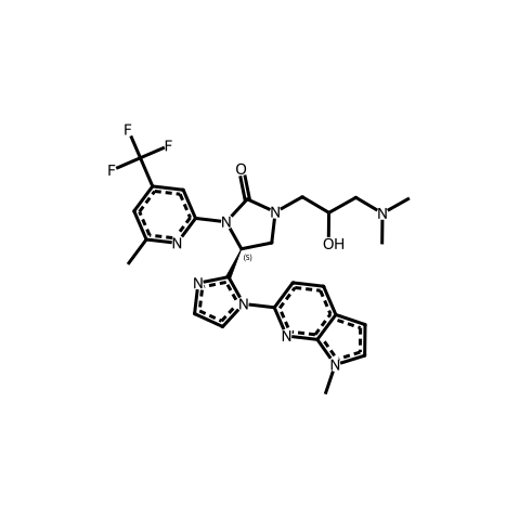 Cc1cc(C(F)(F)F)cc(N2C(=O)N(CC(O)CN(C)C)C[C@H]2c2nccn2-c2ccc3ccn(C)c3n2)n1